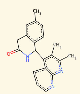 Cc1ccc2c(c1)CC(=O)NC2c1c(C)c(C)nc2ncccc12